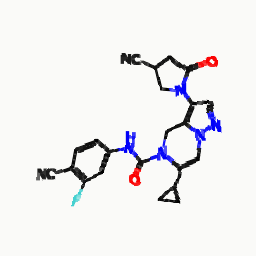 N#Cc1ccc(NC(=O)N2Cc3c(N4CC(C#N)CC4=O)cnn3CC2C2CC2)cc1F